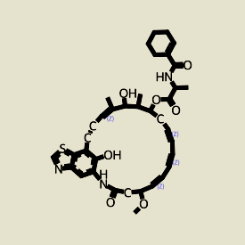 COC1\C=C/C=C\C=C/CC(OC(=O)C(C)NC(=O)C2=CCCCC2)C(C)C(O)/C(C)=C\CCc2c(O)c(cc3ncsc23)NC(=O)C1